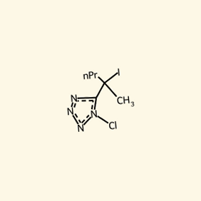 CCCC(C)(I)c1nnnn1Cl